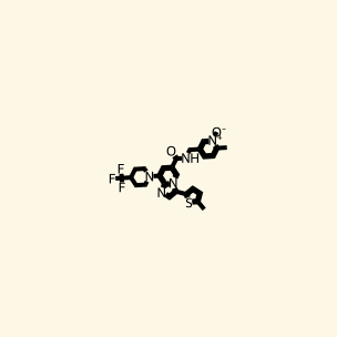 Cc1ccc(-c2cnc3c(N4CCC(C(F)(F)F)CC4)cc(C(=O)NCc4ccc(C)[n+]([O-])c4)cn23)s1